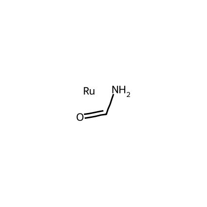 NC=O.[Ru]